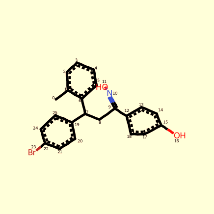 Cc1ccccc1C(C/C(=N\O)c1ccc(O)cc1)c1ccc(Br)cc1